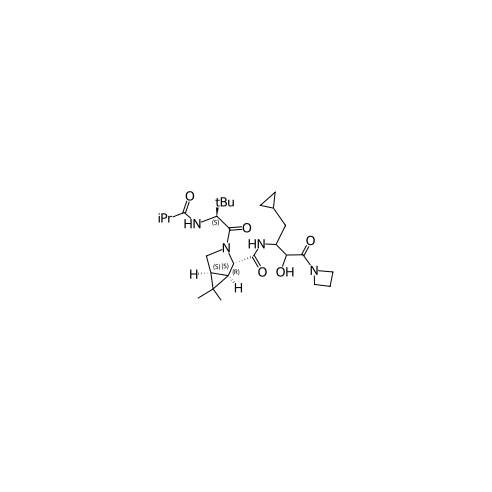 CC(C)C(=O)N[C@H](C(=O)N1C[C@H]2[C@@H]([C@H]1C(=O)NC(CC1CC1)C(O)C(=O)N1CCC1)C2(C)C)C(C)(C)C